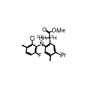 [2H]N(c1cc(C)c(C(C)C)cc1C([2H])([2H])C(=O)OC)c1c(F)ccc(C)c1Cl